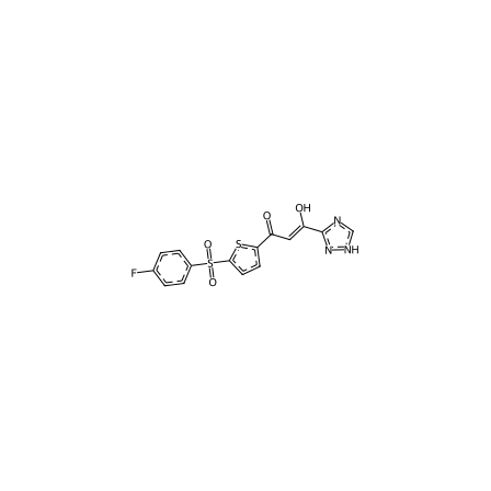 O=C(C=C(O)c1nc[nH]n1)c1ccc(S(=O)(=O)c2ccc(F)cc2)s1